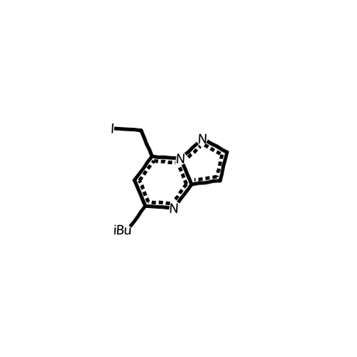 CCC(C)c1cc(CI)n2nccc2n1